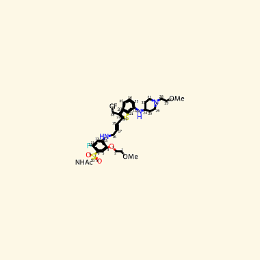 COCCOc1cc(S(=O)(=O)NC(C)=O)c(F)cc1NCC#Cc1sc2c(NC3CCN(CCOC)CC3)cccc2c1CC(F)(F)F